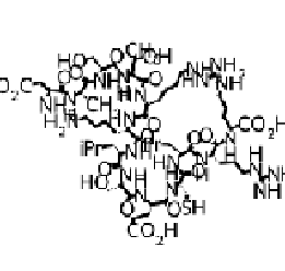 CC(C)C[C@H](NC(=O)[C@H](CS)NC(=O)[C@H](CCC(=O)O)NC(=O)[C@H](CO)NC(=O)[C@H](CC(C)C)NC(=O)[C@H](CCCCN)NC(=O)[C@H](CCCCN)NC(=O)[C@@H](NC(=O)[C@H](CO)NC(=O)[C@H](C)NC(=O)[C@@H](N)CC(=O)O)[C@@H](C)O)C(=O)N[C@@H](CCCNC(=N)N)C(=O)N[C@@H](CCCNC(=N)N)C(=O)O